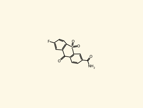 NC(=O)c1ccc2c(c1)S(=O)(=O)c1ccc(F)cc1C2=O